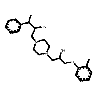 Cc1ccccc1OCC(O)CN1CCN(CC(O)C(C)c2ccccc2)CC1